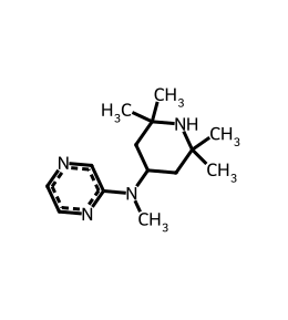 CN(c1cnccn1)C1CC(C)(C)NC(C)(C)C1